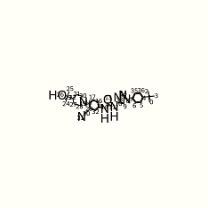 CC(C)(C)c1ccc(-n2cc(NC(=O)Nc3ccc(N4CCC(C(C)(C)O)CC4)c(C#N)c3)nn2)cc1